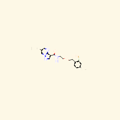 Cc1cnc2c(C(=O)NCCOC[C@H](O)c3ccc(C(F)(F)F)cc3F)cnn2c1